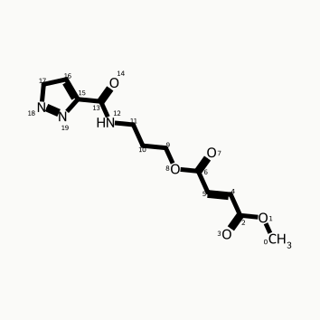 COC(=O)/C=C/C(=O)OCCCNC(=O)C1=CCN=N1